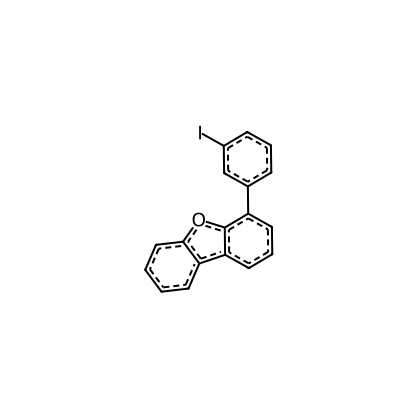 Ic1cccc(-c2cccc3c2oc2ccccc23)c1